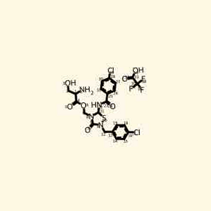 NC(CO)C(=O)OCN1C(=O)N(Cc2ccc(Cl)cc2)SC1NC(=O)c1ccc(Cl)cc1.O=C(O)C(F)(F)F